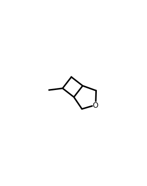 CC1CC2COCC12